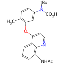 CC(=O)Nc1cccc2c(Oc3cc(N(C(=O)O)C(C)(C)C)ccc3C)ccnc12